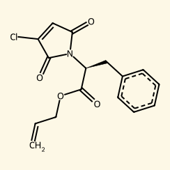 C=CCOC(=O)[C@H](Cc1ccccc1)N1C(=O)C=C(Cl)C1=O